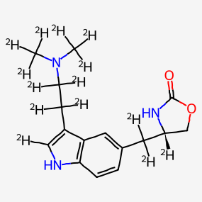 [2H]c1[nH]c2ccc(C([2H])([2H])[C@@]3([2H])COC(=O)N3)cc2c1C([2H])([2H])C([2H])([2H])N(C([2H])([2H])[2H])C([2H])([2H])[2H]